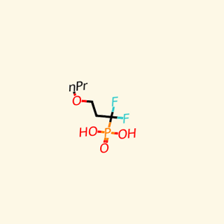 CCCOCCC(F)(F)P(=O)(O)O